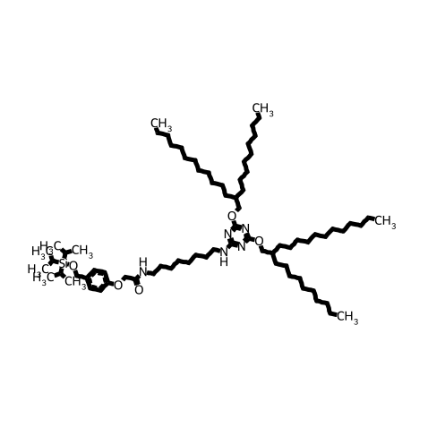 CCCCCCCCCCCCC(CCCCCCCCCC)COc1nc(NCCCCCCCCNC(=O)COc2ccc(CO[Si](C(C)C)(C(C)C)C(C)C)cc2)nc(OCC(CCCCCCCCCC)CCCCCCCCCCCC)n1